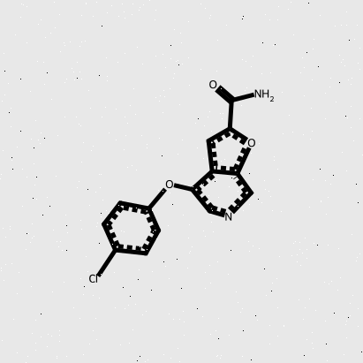 NC(=O)c1cc2c(Oc3ccc(Cl)cc3)cncc2o1